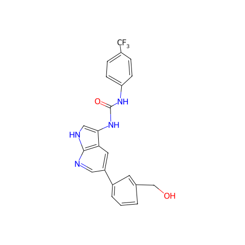 O=C(Nc1ccc(C(F)(F)F)cc1)Nc1c[nH]c2ncc(-c3cccc(CO)c3)cc12